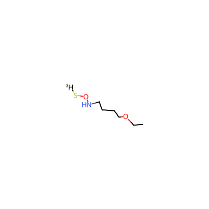 [3H]SONCCCCOCC